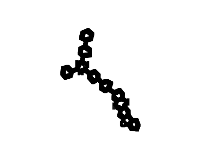 c1ccc(-c2ccc(-c3nc(-c4ccccc4)nc(-c4ccc(-c5ccc(-c6ccc7nc8cc9c(cc8nc7c6)oc6ccccc69)cc5)cc4)n3)cc2)cc1